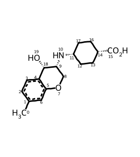 Cc1ccc2c(c1)OC[C@@H](N[C@H]1CC[C@@H](C(=O)O)CC1)[C@H]2O